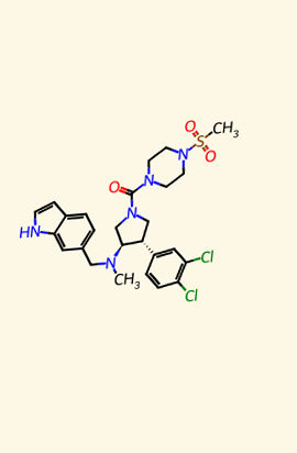 CN(Cc1ccc2cc[nH]c2c1)[C@H]1CN(C(=O)N2CCN(S(C)(=O)=O)CC2)C[C@@H]1c1ccc(Cl)c(Cl)c1